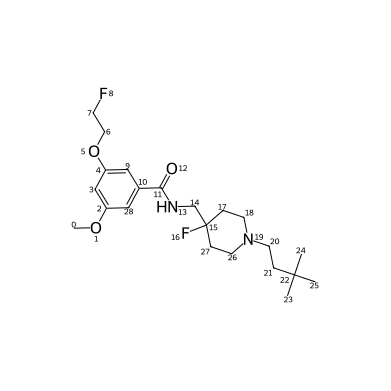 COc1cc(OCCF)cc(C(=O)NCC2(F)CCN(CCC(C)(C)C)CC2)c1